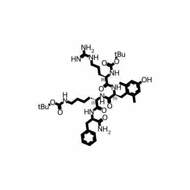 Cc1cc(O)cc(C)c1C[C@H](NC(=O)[C@@H](CCCNC(=N)N)NC(=O)OC(C)(C)C)C(=O)N[C@@H](CCCCNC(=O)OC(C)(C)C)C(=O)NC(Cc1ccccc1)C(N)=O